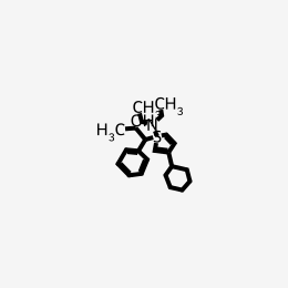 CCN(CC)S1(C(c2ccccc2)C(C)O)C=CC(C2CCCCC2)=C1